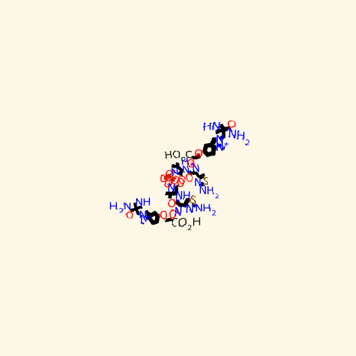 C[n+]1c2ccc(OC[C@H](O/N=C(\C(=O)N[C@@H]3C(=O)N(OS(=O)(=O)ON4C(=O)[C@@H](NC(=O)/C(=N\O[C@@H](COc5ccc6c(c5)cn(CC5(C(N)=O)CNC5)[n+]6C)C(=O)O)c5csc(N)n5)C4(C)C)C3(C)C)c3csc(N)n3)C(=O)O)cc2cn1CC1(C(N)=O)CNC1